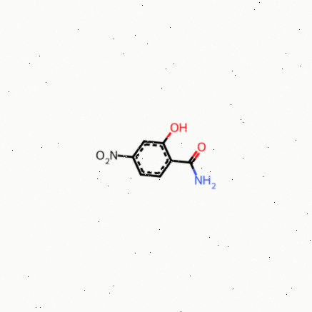 NC(=O)c1ccc([N+](=O)[O-])cc1O